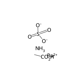 CC(=O)O.N.O=S(=O)([O-])[O-].[Ba+2]